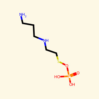 NCCCNCCSOP(=O)(O)O